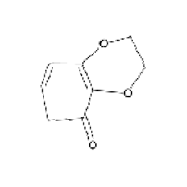 O=C1CC=CC2=C1OCCO2